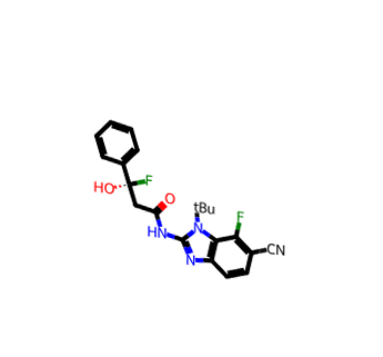 CC(C)(C)n1c(NC(=O)C[C@](O)(F)c2ccccc2)nc2ccc(C#N)c(F)c21